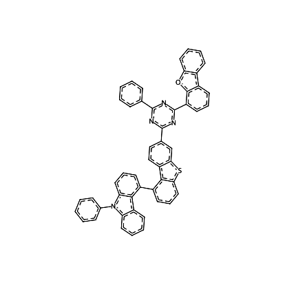 c1ccc(-c2nc(-c3ccc4c(c3)sc3cccc(-c5cccc6c5c5ccccc5n6-c5ccccc5)c34)nc(-c3cccc4c3oc3ccccc34)n2)cc1